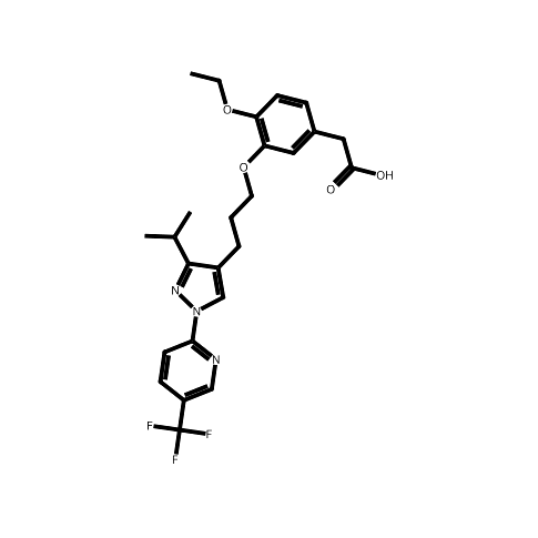 CCOc1ccc(CC(=O)O)cc1OCCCc1cn(-c2ccc(C(F)(F)F)cn2)nc1C(C)C